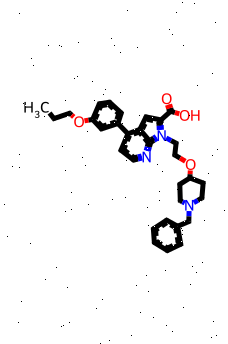 CCCOc1cccc(-c2ccnc3c2cc(C(=O)O)n3CCOC2CCN(Cc3ccccc3)CC2)c1